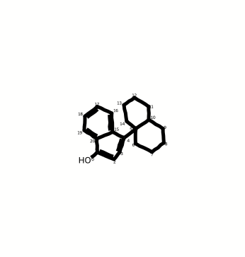 Oc1ccc(C23CCCCC2CCCC3)c2ccccc12